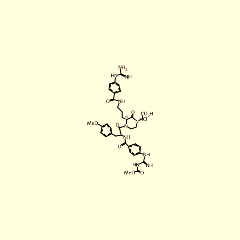 COC(=O)NC(=N)Nc1ccc(C(=O)NC(Cc2ccc(OC)cc2)C(=O)N2CCN(CC(=O)O)C(=O)[C@@H]2CCCNC(=O)c2ccc(NC(=N)N)cc2)cc1.Cl